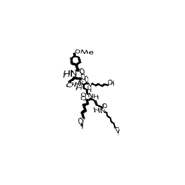 COCC1CCC(C(=O)NC(CO)C(=O)NC(CCC(=O)NC(CCC(=O)NCCCCCCOI)C(=O)CCCCCOI)C(=O)NCCCCCCOI)CC1